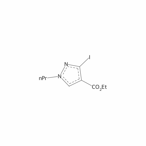 CCCn1cc(C(=O)OCC)c(I)n1